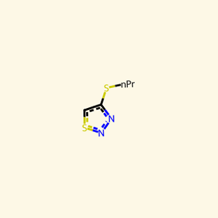 [CH2]CCSc1csnn1